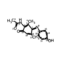 CC(=O)NC1=C(C)C(=Nc2ccc(O)cc2)C(C)=CC1=O